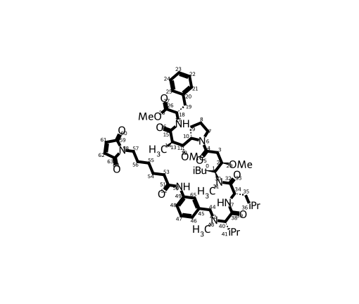 CC[C@H](C)[C@@H]([C@@H](CC(=O)N1CCC[C@H]1[C@H](OC)[C@@H](C)C(=O)N[C@@H](Cc1ccccc1)C(=O)OC)OC)N(C)C(=O)[C@H](CC(C)C)NC(=O)[C@H](C(C)C)N(C)Cc1cccc(NC(=O)CCCCCN2C(=O)C=CC2=O)c1